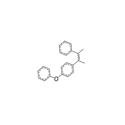 C/C(=C(\C)c1ccc(Oc2ccccc2)cc1)c1ccccc1